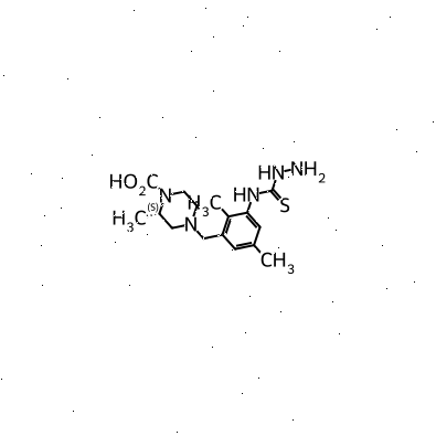 Cc1cc(CN2CCN(C(=O)O)[C@@H](C)C2)c(C)c(NC(=S)NN)c1